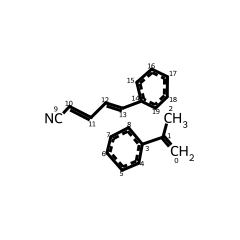 C=C(C)c1ccccc1.N#CC=CC=Cc1ccccc1